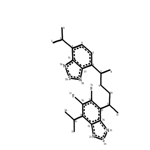 CC(C)c1ccc(C(C)CCC(C)c2c(F)c(F)c(C(C)C)c3nsnc23)c2nsnc12